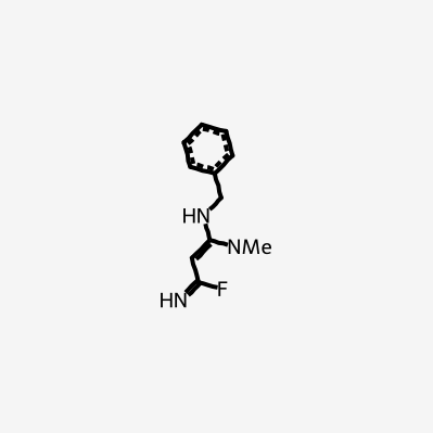 CN/C(=C\C(=N)F)NCc1ccccc1